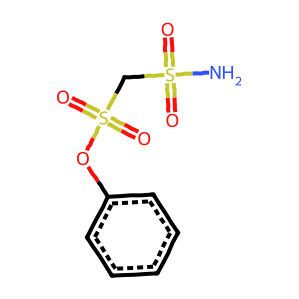 NS(=O)(=O)CS(=O)(=O)Oc1ccccc1